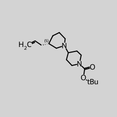 C=CC[C@@H]1CCCN(C2CCN(C(=O)OC(C)(C)C)CC2)C1